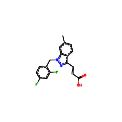 Cc1ccc2c(/C=C/C(=O)O)nn(Cc3ccc(F)cc3F)c2c1